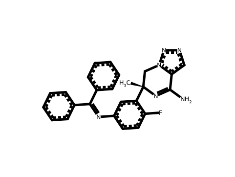 C[C@@]1(c2cc(N=C(c3ccccc3)c3ccccc3)ccc2F)Cn2nncc2C(N)=N1